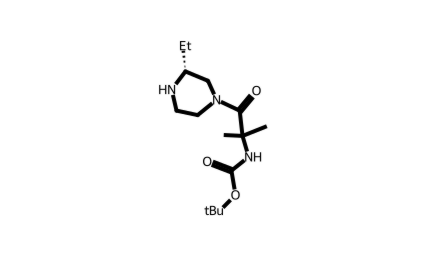 CC[C@@H]1CN(C(=O)C(C)(C)NC(=O)OC(C)(C)C)CCN1